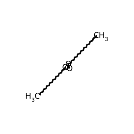 CCCCCCCCCCCCCCCCCCOS(=O)OCCCCCCCCCCCCCCCCCC